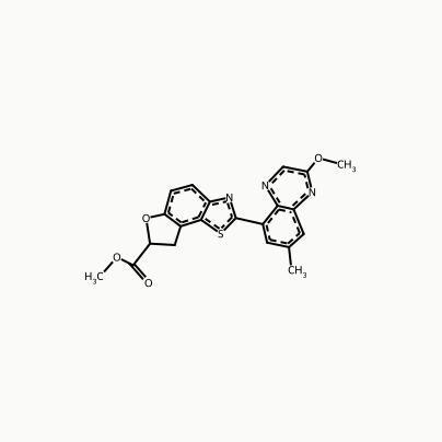 COC(=O)C1Cc2c(ccc3nc(-c4cc(C)cc5nc(OC)cnc45)sc23)O1